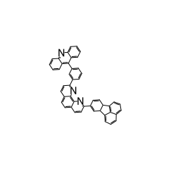 C1=CC2c3cccc4cccc(c34)C2C=C1c1ccc2ccc3ccc(-c4cccc(-c5c6ccccc6nc6ccccc56)c4)nc3c2n1